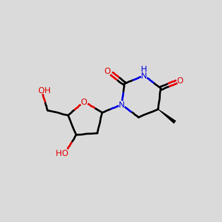 C[C@H]1CN(C2CC(O)C(CO)O2)C(=O)NC1=O